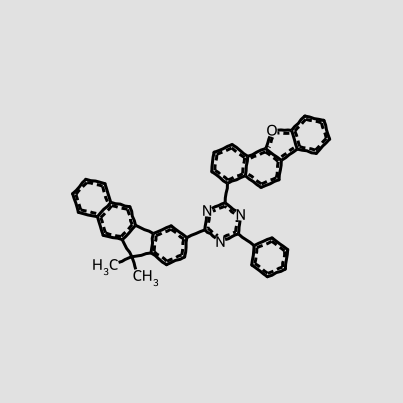 CC1(C)c2ccc(-c3nc(-c4ccccc4)nc(-c4cccc5c4ccc4c6ccccc6oc54)n3)cc2-c2cc3ccccc3cc21